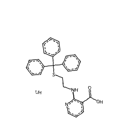 O=C(O)c1cccnc1NCCSC(c1ccccc1)(c1ccccc1)c1ccccc1.[LiH]